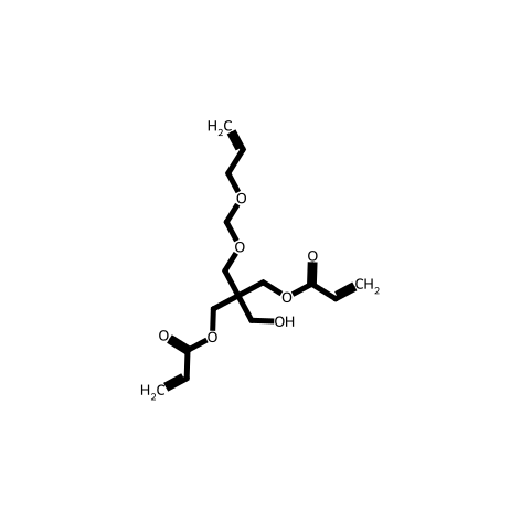 C=CCOCOCC(CO)(COC(=O)C=C)COC(=O)C=C